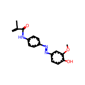 C=C(C)C(=O)Nc1ccc(N=Nc2ccc(O)c(OC)c2)cc1